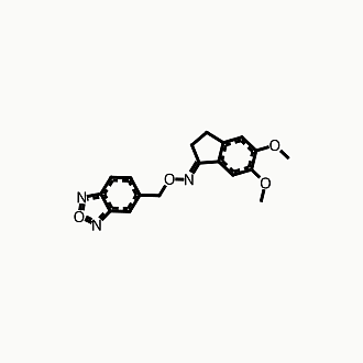 COc1cc2c(cc1OC)/C(=N/OCc1ccc3nonc3c1)CC2